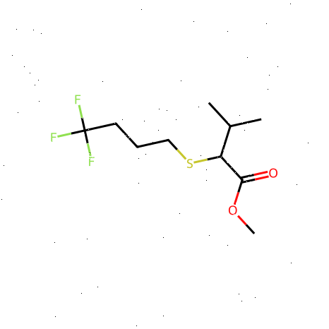 COC(=O)C(SCCCC(F)(F)F)C(C)C